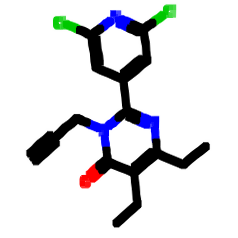 C#CCn1c(-c2cc(Cl)nc(Cl)c2)nc(CC)c(CC)c1=O